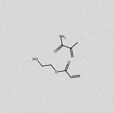 C=C(C)C(N)=O.C=CC(=O)OCCO